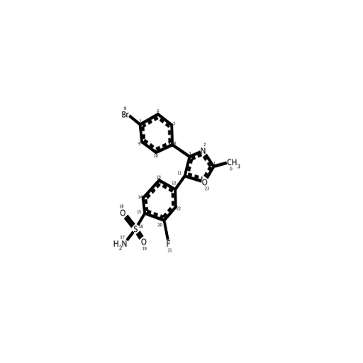 Cc1nc(-c2ccc(Br)cc2)c(-c2ccc(S(N)(=O)=O)c(F)c2)o1